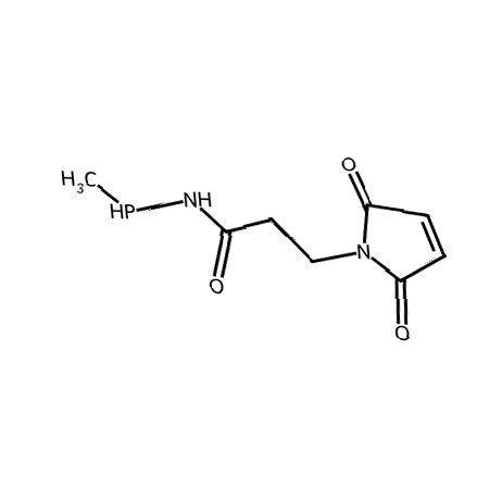 CPNC(=O)CCN1C(=O)C=CC1=O